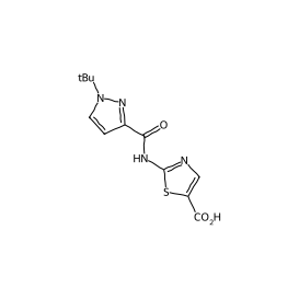 CC(C)(C)n1ccc(C(=O)Nc2ncc(C(=O)O)s2)n1